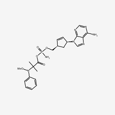 CON(c1ccccc1)C(C)(C)C(=O)OP(N)(=O)OC[C@H]1C=C[C@@H](n2cnc3c(N)ncnc32)C1